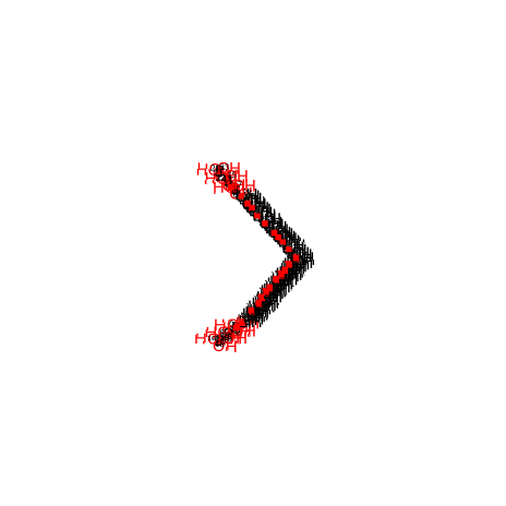 OB(O)O.OB(O)O.OB(O)O.OB(O)O.OB(O)O.OB(O)O.[LiH].[LiH].[LiH].[LiH].[LiH].[LiH].[LiH].[LiH].[LiH].[LiH].[LiH].[LiH].[LiH].[LiH].[LiH].[LiH].[LiH].[LiH].[LiH].[LiH].[LiH].[LiH].[LiH].[LiH].[LiH].[LiH].[LiH].[LiH].[LiH].[LiH].[LiH].[LiH].[LiH].[LiH].[LiH].[LiH].[LiH].[LiH].[LiH].[LiH].[LiH].[LiH].[LiH].[LiH].[LiH].[LiH].[LiH].[LiH].[LiH].[LiH].[LiH].[LiH]